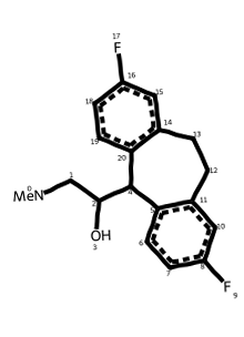 CNCC(O)C1c2ccc(F)cc2CCc2cc(F)ccc21